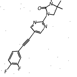 CN1C(=O)N(c2ncc(C#Cc3ccc(F)c(F)c3)cn2)CC1(C)C